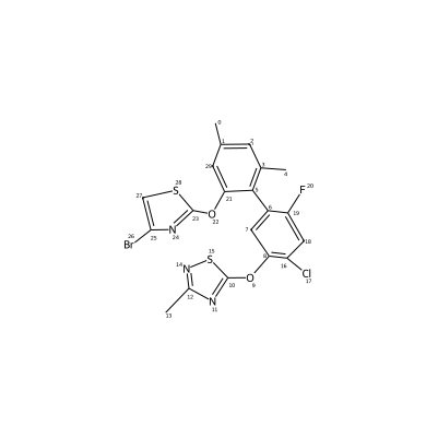 Cc1[c]c(C)c(-c2cc(Oc3nc(C)ns3)c(Cl)cc2F)c(Oc2nc(Br)cs2)c1